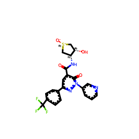 O=C(N[C@@H]1C[S@+]([O-])C[C@@H]1O)c1cc(-c2ccc(C(F)(F)F)cc2)nn(-c2cccnc2)c1=O